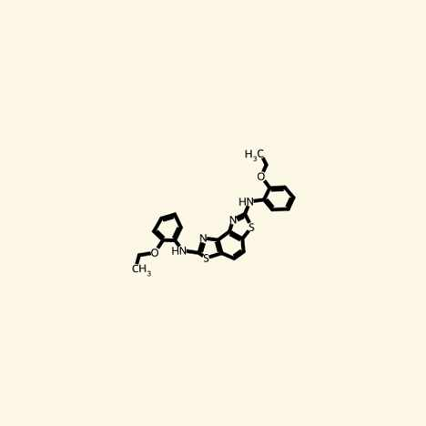 CCOc1ccccc1Nc1nc2c(ccc3sc(Nc4ccccc4OCC)nc32)s1